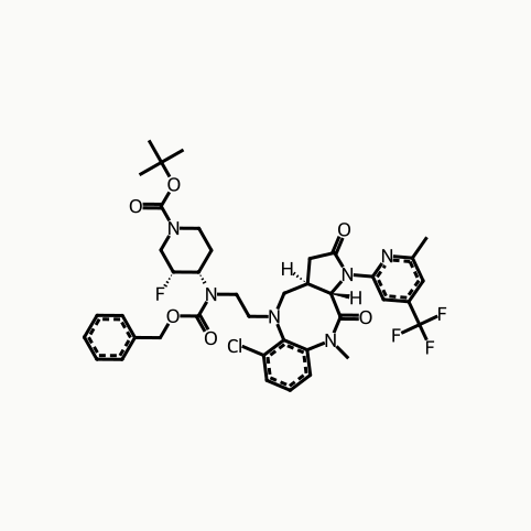 Cc1cc(C(F)(F)F)cc(N2C(=O)C[C@@H]3CN(CCN(C(=O)OCc4ccccc4)[C@H]4CCN(C(=O)OC(C)(C)C)C[C@H]4F)c4c(Cl)cccc4N(C)C(=O)[C@H]32)n1